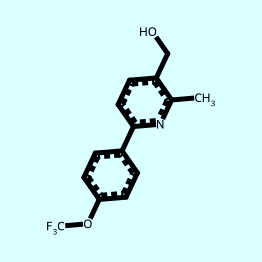 Cc1nc(-c2ccc(OC(F)(F)F)cc2)ccc1CO